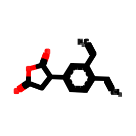 C=Cc1ccc(C2CC(=O)OC2=O)cc1C=C